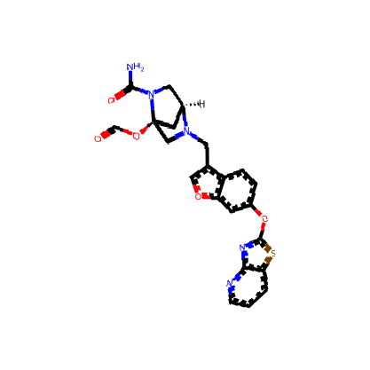 NC(=O)N1C[C@@H]2C[C@]1(OC=O)CN2Cc1coc2cc(Oc3nc4ncccc4s3)ccc12